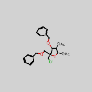 CC(=O)O[C@H]1O[C@](CCl)(COCc2ccccc2)[C@@H](OCc2ccccc2)[C@H]1OC(C)=O